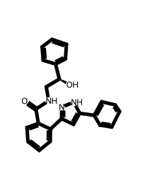 O=C(NC[C@H](O)c1ccccc1)c1ccccc1-c1cc(-c2ccccc2)[nH]n1